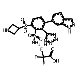 NS(=O)(=O)c1c(S(=O)(=O)C2CNC2)ccc(-c2ccc3cn[nH]c3c2)c1-c1nnn[nH]1.O=C(O)C(F)(F)F